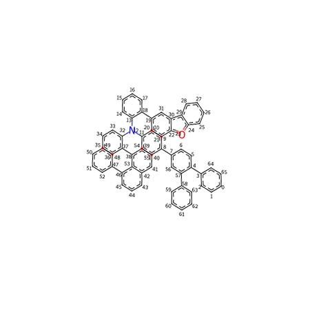 c1ccc(-c2ccc(-c3ccc(N(c4ccccc4-c4ccc5oc6ccccc6c5c4)c4ccccc4-c4cccc5cccc(-c6ccccc6)c45)cc3)cc2-c2ccccc2)cc1